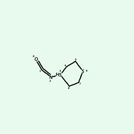 O=C=N[SH]1CCSCC1